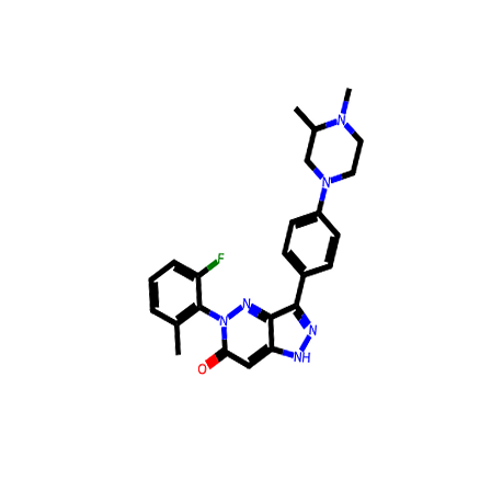 Cc1cccc(F)c1-n1nc2c(-c3ccc(N4CCN(C)C(C)C4)cc3)n[nH]c2cc1=O